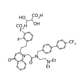 CCN(CC)CCN(Cc1ccc(-c2ccc(C(F)(F)F)cc2)cc1)C(=O)Cn1c(CCc2cccc(F)c2F)cc(=O)c2ccccc21.O=C(O)C(O)C(O)C(=O)O